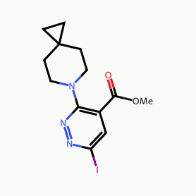 COC(=O)c1cc(I)nnc1N1CCC2(CC1)CC2